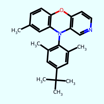 Cc1ccc2c(c1)N(c1c(C)cc(C(C)(C)C)cc1C)c1cnccc1O2